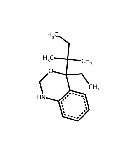 CCC(C)(C)C1(CC)OCNc2ccccc21